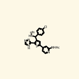 CCCNC(c1ccc(Cl)cc1)c1cc(-c2ccnc(NC(C)=O)c2)sc1-c1nnc[nH]1